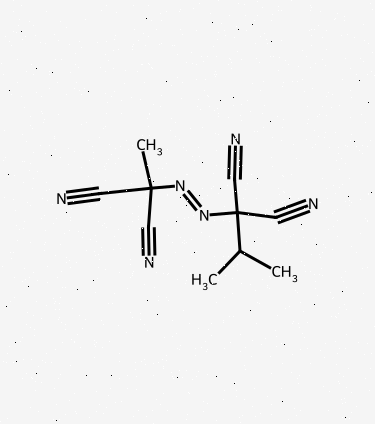 CC(C)C(C#N)(C#N)N=NC(C)(C#N)C#N